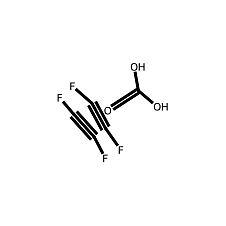 FC#CF.FC#CF.O=C(O)O